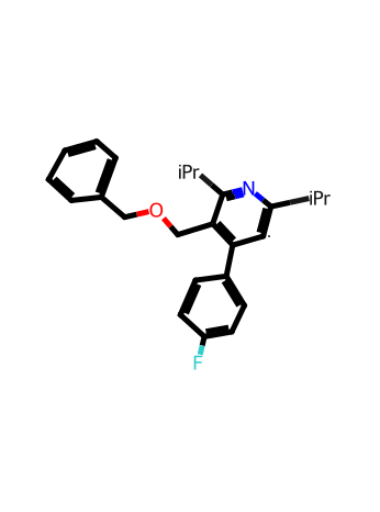 CC(C)c1[c]c(-c2ccc(F)cc2)c(COCc2ccccc2)c(C(C)C)n1